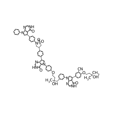 CC(C)(O)CCOc1ccc(-c2cn(-c3cccc(CC(C)(O)CCOc4ccc(-n5cc(-c6ccc(C7CN(c8ccc(-c9cn(-c%10ccccc%10)c%10nc[nH]c(=O)c9%10)cc8)S(=O)(=O)C7)cc6)c6nc[nH]c(=O)c65)cc4)c3)c3nc[nH]c(=O)c23)cc1C#N